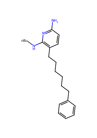 CCCCNc1nc(N)ccc1CCCCCCc1ccccc1